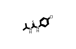 CC(C)NC(=S)Nc1ccc(Cl)cc1